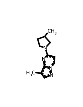 Cc1cnn2ccc(N3CCC(C)C3)nc12